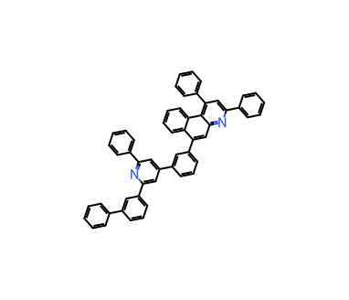 c1ccc(-c2cccc(-c3cc(-c4cccc(-c5cc6nc(-c7ccccc7)cc(-c7ccccc7)c6c6ccccc56)c4)cc(-c4ccccc4)n3)c2)cc1